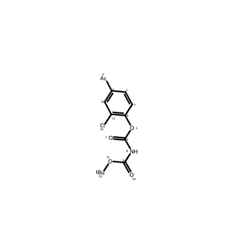 CC(=O)c1ccc(OC(=O)NC(=O)OC(C)(C)C)c(Cl)c1